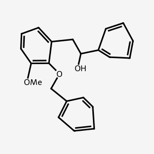 COc1cccc(CC(O)c2ccccc2)c1OCc1ccccc1